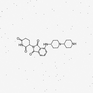 O=C1CCC(N2C(=O)c3cccc(NC4CCN(C5CCNCC5)CC4)c3C2=O)C(=O)N1